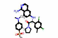 Cc1cc([C@@H](Nc2ccc3c(N)nccc3c2)C(=O)N2CCC[C@@H]2c2cc(N(C)C(=O)O)ccc2S(=O)(=O)C(C)C)c(F)cc1F